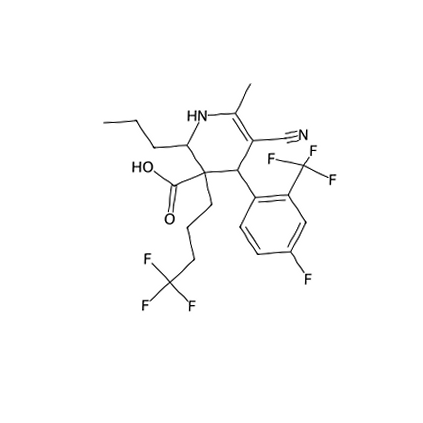 CCCC1NC(C)=C(C#N)C(c2ccc(F)cc2C(F)(F)F)C1(CCCC(F)(F)F)C(=O)O